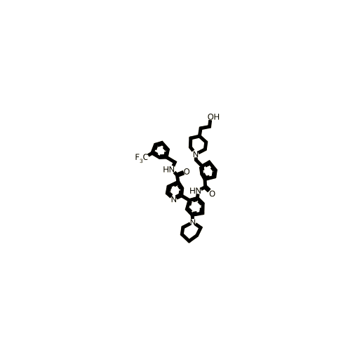 O=C(NCc1cccc(C(F)(F)F)c1)c1ccnc(-c2cc(N3CCCCC3)ccc2NC(=O)c2cccc(CN3CCC(CCO)CC3)c2)c1